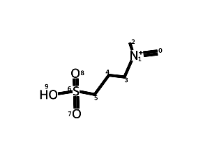 C=[N+](C)CCCS(=O)(=O)O